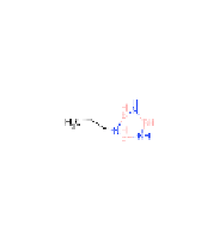 C=CCN1BNBNB1